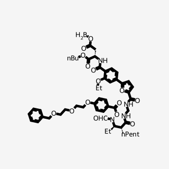 BOC(=O)C[C@H](NC(=O)c1ccc(-c2ccc(C(=O)NCNC(=O)[C@H](CCCCC)[C@@H](CC)N(C=O)OC(=O)c3ccc(OCCOCCOCc4ccccc4)cc3)o2)cc1OCC)C(=O)OCCCC